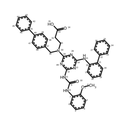 COc1ccccc1NC(=O)Nc1nc(Nc2ccccc2-c2ccccc2)nc(N(CCC(=O)O)Cc2ccc(-c3ccccc3)cc2)n1